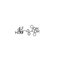 O=C(OCCC(F)C(F)(F)S(=O)(=O)O)C1C(C2(O)CCCC2)C1C1(O)CCCC1